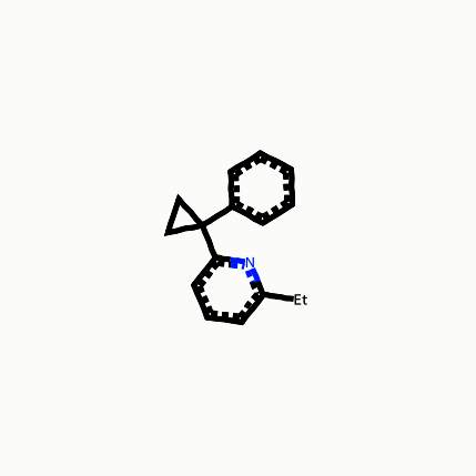 CCc1cccc(C2(c3ccccc3)CC2)n1